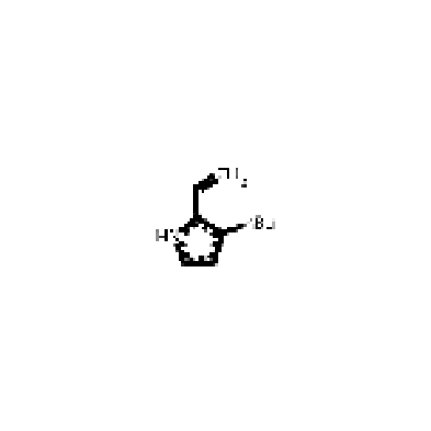 C=Cc1[nH]ccc1CCCC